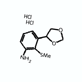 CSc1c(N)cccc1C1COCO1.Cl.Cl